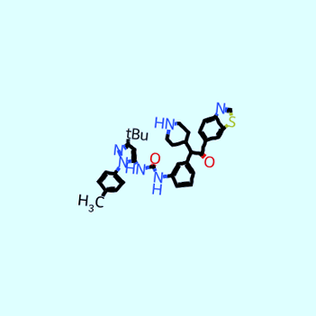 Cc1ccc(-n2nc(C(C)(C)C)cc2NC(=O)Nc2cccc(C(C(=O)c3ccc4ncsc4c3)C3CCNCC3)c2)cc1